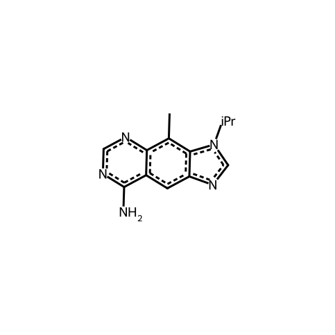 Cc1c2ncnc(N)c2cc2ncn(C(C)C)c12